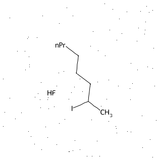 CCCCCCC(C)I.F